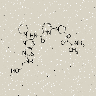 CC(N)C(=O)O[C@H]1CCN(c2cccc(C(=O)Nc3cc4sc(NCCO)nc4nc3N3CCCCC3)n2)C1